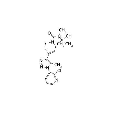 Cc1c(C2=CCN(C(=O)N(C)C(C)(C)C)CC2)nnn1-c1cccnc1Cl